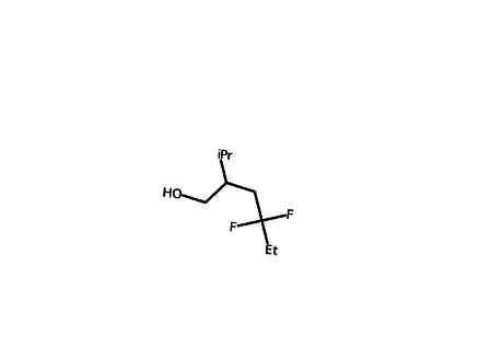 CCC(F)(F)CC(CO)C(C)C